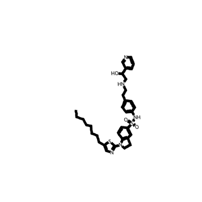 CCCCCCCCc1cnc(N2CCc3cc(S(=O)(=O)Nc4ccc(CCNCC(O)c5cccnc5)cc4)ccc32)s1